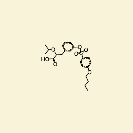 CCCCOc1ccc(S(=O)(=O)Oc2cccc(CC(OC(C)C)C(=O)O)c2)cc1